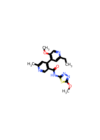 CCc1cc(-c2cc(C)ncc2C(=O)Nc2nnc(OC)s2)c(OC)cn1